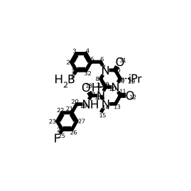 Bc1cccc(CN2C[C@H]3N(C(=O)CN(C)N3C(=O)NCc3ccc(F)cc3)[C@@H](C(C)C)C2=O)c1